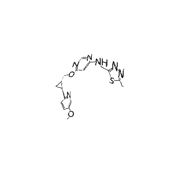 COc1ccc([C@H]2C[C@@H]2COc2cc(NCc3nnc(C)s3)ncn2)nc1